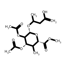 C=C(O)CC(C)O[C@@H]1O[C@H](C(=O)OC)C(C)[C@H](OC(C)=O)C1OC(C)=O